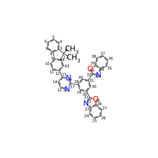 CC1(C)c2ccccc2-c2ccc(-c3ccnc(-c4cc(-c5nc6ccccc6o5)cc(-c5nc6ccccc6o5)c4)n3)cc21